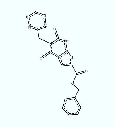 O=C(OCc1ccccc1)c1cc2c(=O)n(Cc3nncnn3)c(=O)[nH]c2s1